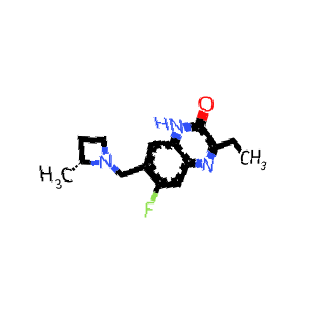 CCc1nc2cc(F)c(CN3CC[C@H]3C)cc2[nH]c1=O